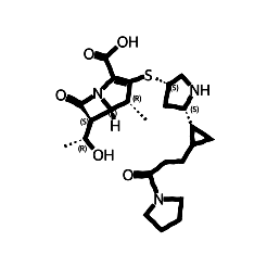 C[C@@H](O)[C@H]1C(=O)N2C(C(=O)O)=C(S[C@@H]3CN[C@H](C4CC4CCC(=O)N4CCCC4)C3)[C@H](C)[C@H]12